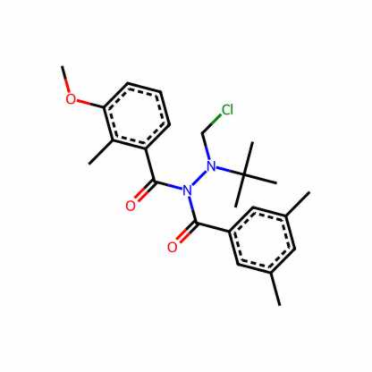 COc1cccc(C(=O)N(C(=O)c2cc(C)cc(C)c2)N(CCl)C(C)(C)C)c1C